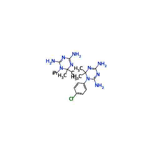 CC(C)N1C(N)=NC(N)=NC1(C)C.CC1(C)N=C(N)N=C(N)N1c1ccc(Cl)cc1